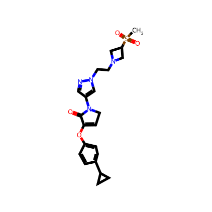 CS(=O)(=O)C1CN(CCn2cc(N3CC=C(Oc4ccc(C5CC5)cc4)C3=O)cn2)C1